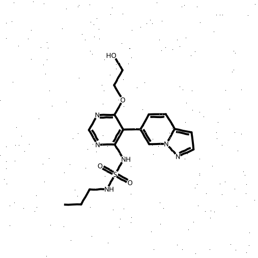 CCCNS(=O)(=O)Nc1ncnc(OCCO)c1-c1ccc2ccnn2c1